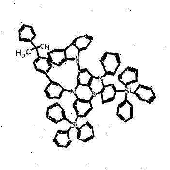 CC(C)(c1ccccc1)c1ccc(-c2cccc(N3c4cc([Si](c5ccccc5)(c5ccccc5)c5ccccc5)ccc4B4c5ccc([Si](c6ccccc6)(c6ccccc6)c6ccccc6)cc5N(c5ccccc5)c5cc(-n6c7ccccc7c7ccccc76)cc3c54)c2)cc1